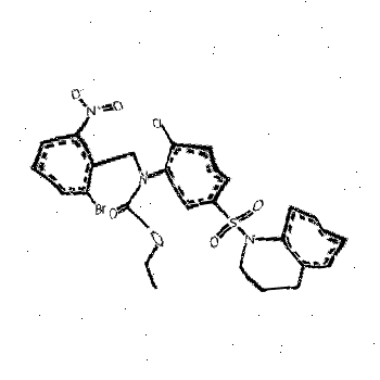 CCOC(=O)N(Cc1c(Br)cccc1[N+](=O)[O-])c1cc(S(=O)(=O)N2CCCc3ccccc32)ccc1Cl